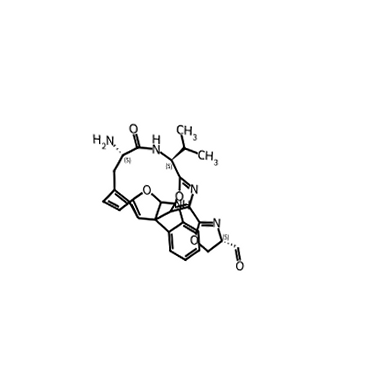 CC(C)[C@@H]1NC(=O)[C@@H](N)Cc2ccc3c(c2)C2(c4ccccc4NC2O3)c2oc1nc2C1=N[C@H](C=O)CO1